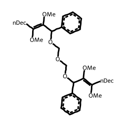 CCCCCCCCCCC(OC)=C(OC)C(OCOCOC(C(OC)=C(CCCCCCCCCC)OC)c1ccccc1)c1ccccc1